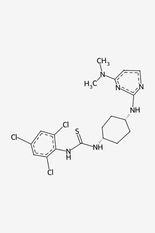 CN(C)c1ccnc(N[C@H]2CC[C@@H](NC(=S)Nc3c(Cl)cc(Cl)cc3Cl)CC2)n1